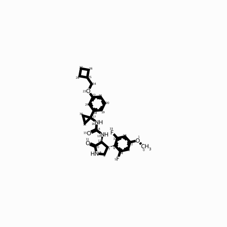 COc1cc(F)c([C@@H]2CNC(=O)[C@H]2NC(=O)NC2(c3cccc(OCC4CCC4)c3)CC2)c(F)c1